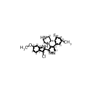 COc1ccc2c(Cl)c(-c3nncc(-c4cc(C)cc(F)c4)c3N3CCNCC3)[nH]c2c1